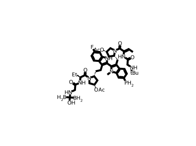 BC(B)(O)NCC(=O)N[C@@H](CC)C(=O)N1C[C@@H](OC(C)=O)C[C@H]1CCc1c(-c2c(C[C@@H]3C[C@H](OC(C)=O)CN3C(=O)/C(=C/C)NC(=O)CNC(C)(C)C)c3ccc(P)cc3n2C)[nH]c2cc(F)ccc12